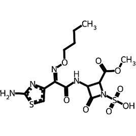 CCCCON=C(C(=O)NC1C(=O)N(S(=O)(=O)O)C1C(=O)OC)c1csc(N)n1